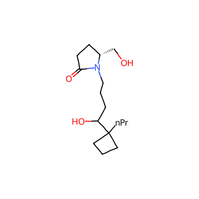 CCCC1(C(O)CCCN2C(=O)CC[C@@H]2CO)CCC1